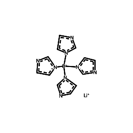 [Li+].c1cn([B-](n2ccnc2)(n2ccnc2)n2ccnc2)cn1